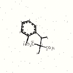 Cc1ccccc1C(C)C(C)(C(=O)O)C(=O)O